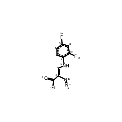 CCC(=O)/C(=C/Nc1ccc(F)cc1F)N=N